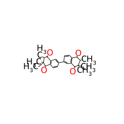 CCC1(C)C(=O)c2ccc(-c3ccc4c(c3)C(=O)C(C)(C)C(C)C4=O)cc2C(=O)C1C